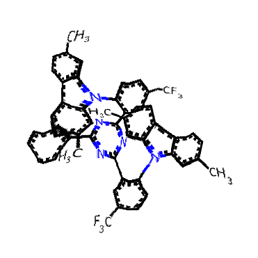 Cc1ccc2c3ccc(C)cc3n(-c3ccc(C(F)(F)F)cc3-c3nc(-c4ccccc4)nc(-c4cc(C(F)(F)F)ccc4-n4c5cc(C)ccc5c5ccc(C)cc54)n3)c2c1